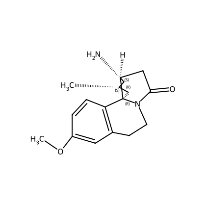 COc1ccc2c(c1)CCN1C(=O)C[C@H]3[C@H](N)[C@@H](C)C[C@]231